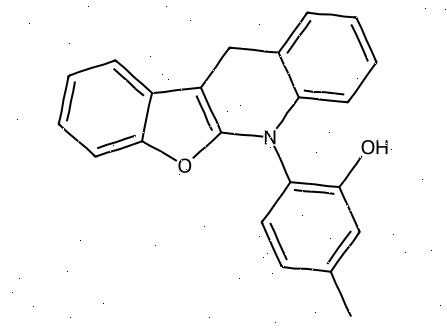 Cc1ccc(N2c3ccccc3Cc3c2oc2ccccc32)c(O)c1